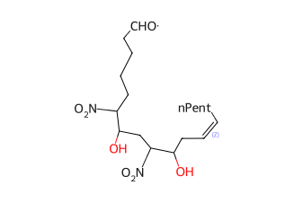 CCCCC/C=C\CC(O)C(CC(O)C(CCCC[C]=O)[N+](=O)[O-])[N+](=O)[O-]